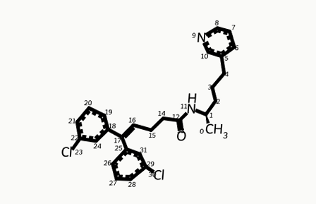 C[C@H](CCCc1cccnc1)NC(=O)CCC=C(c1cccc(Cl)c1)c1cccc(Cl)c1